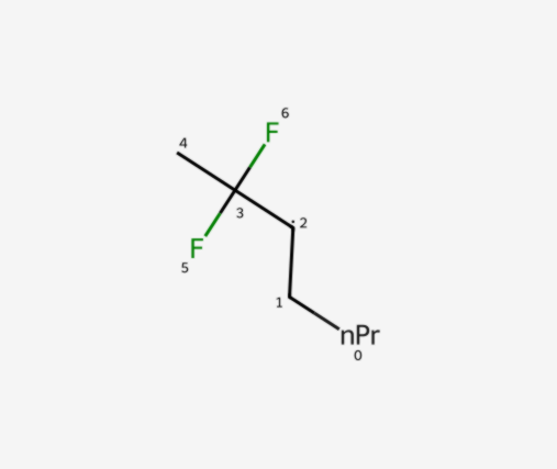 CCCC[CH]C(C)(F)F